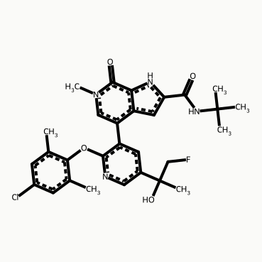 Cc1cc(Cl)cc(C)c1Oc1ncc(C(C)(O)CF)cc1-c1cn(C)c(=O)c2[nH]c(C(=O)NC(C)(C)C)cc12